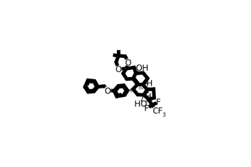 CC1(C)COC2(CCC3=C4[C@@H](CC[C@@]3(O)C2)[C@@H]2CC[C@@](O)(C(F)(F)C(F)(F)F)[C@@]2(C)C[C@@H]4c2ccc(OCc3ccccc3)cc2)OC1